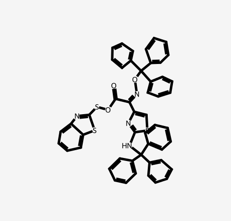 O=C(OSc1nc2ccccc2s1)/C(=N\OC(c1ccccc1)(c1ccccc1)c1ccccc1)c1csc(NC(c2ccccc2)(c2ccccc2)c2ccccc2)n1